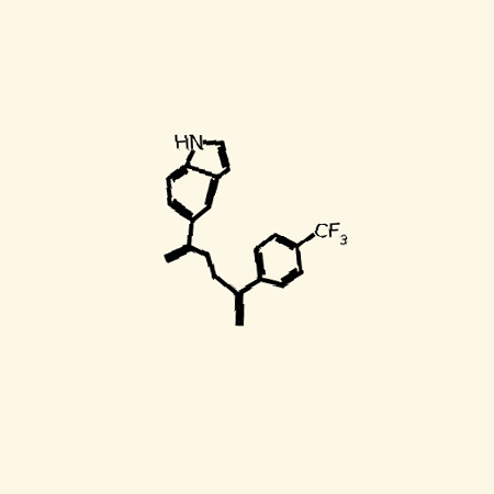 C=C(CCC(=C)c1ccc2[nH]ccc2c1)c1ccc(C(F)(F)F)cc1